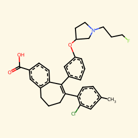 Cc1ccc(C2=C(c3cccc(OC4CCN(CCCF)C4)c3)c3ccc(C(=O)O)cc3CCC2)c(Cl)c1